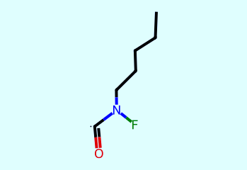 CCCCCN(F)[C]=O